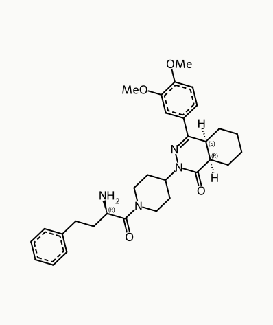 COc1ccc(C2=NN(C3CCN(C(=O)[C@H](N)CCc4ccccc4)CC3)C(=O)[C@@H]3CCCC[C@H]23)cc1OC